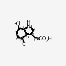 O=C(O)Cc1c[nH]c2c(Cl)ccc(Cl)c12